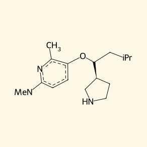 CNc1ccc(OC(CC(C)C)[C@H]2CCNC2)c(C)n1